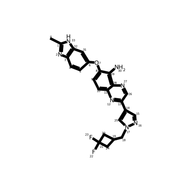 Cc1nc2ccc(Oc3ccc4nc(-c5cnn(CC6CC(F)(F)C6)c5)cnc4c3N)cc2[nH]1